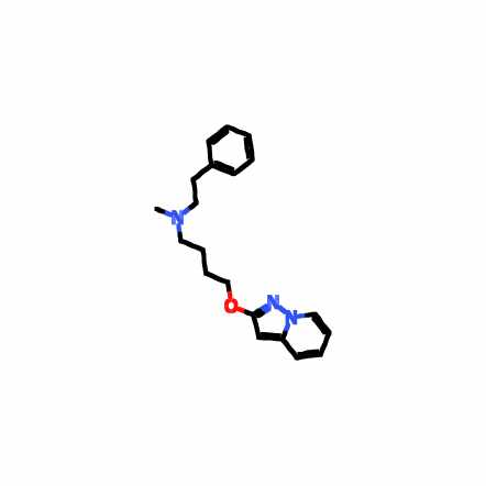 CN(CCCCOc1cc2ccccn2n1)CCc1ccccc1